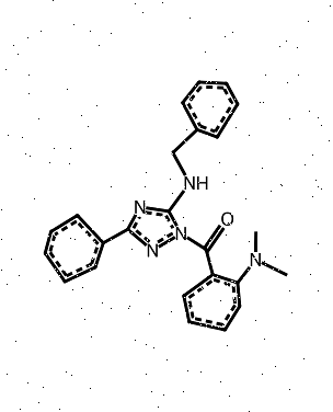 CN(C)c1ccccc1C(=O)n1nc(-c2ccccc2)nc1NCc1ccccc1